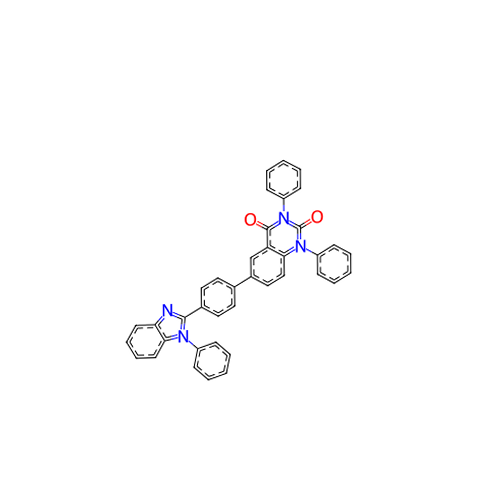 O=c1c2cc(-c3ccc(-c4nc5ccccc5n4-c4ccccc4)cc3)ccc2n(-c2ccccc2)c(=O)n1-c1ccccc1